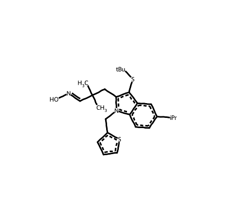 CC(C)c1ccc2c(c1)c(SC(C)(C)C)c(CC(C)(C)C=NO)n2Cc1cccs1